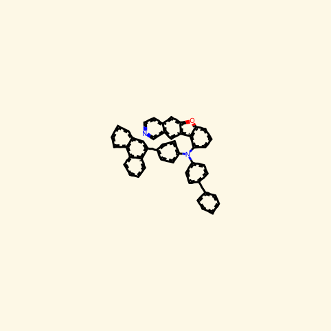 c1ccc(-c2ccc(N(c3ccc(-c4cc5ccccc5c5ccccc45)cc3)c3cccc4oc5cc6ccncc6cc5c34)cc2)cc1